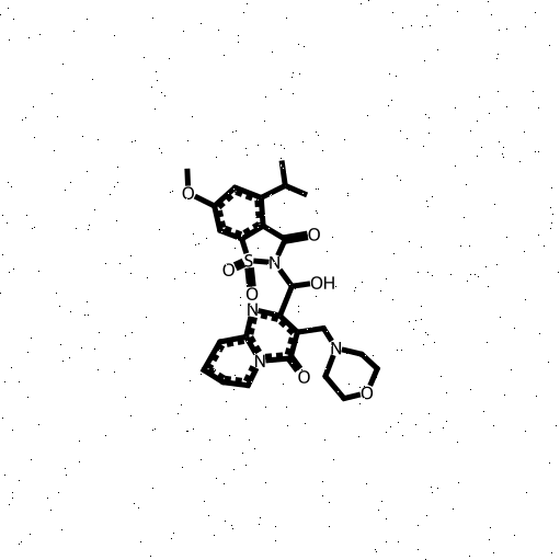 COc1cc(C(C)C)c2c(c1)S(=O)(=O)N(C(O)c1nc3ccccn3c(=O)c1CN1CCOCC1)C2=O